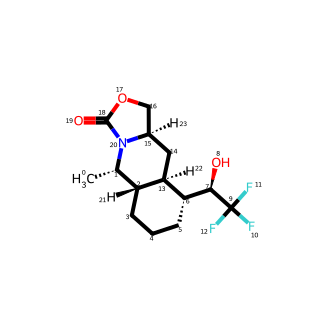 C[C@H]1[C@H]2CCC[C@@H]([C@@H](O)C(F)(F)F)[C@@H]2C[C@@H]2COC(=O)N21